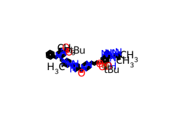 Cc1n[nH]c(Nc2ncnc3cc(OCCCN4CCN(C(=O)c5cnc(N6CCN(CC7CN(C(=O)OC(C)(C)C)C(C)CN7Cc7ccccc7)[C@H](C)C6)nc5)CC4)c(S(=O)(=O)C(C)(C)C)cc23)c1C